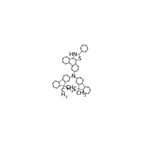 CC1(C)c2ccccc2-c2ccc(N(c3ccc4c(c3)C(C)(C)c3ccccc3-4)c3ccc4c5c(c6ccccc6c4c3)NC(c3ccccc3)S5)cc21